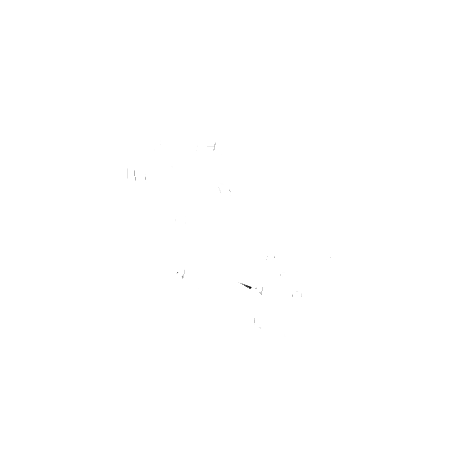 CN([C@H]1CNC(OC(=O)C(C)(C)C)C1)S(=O)(=O)C1CC1